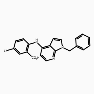 O=C(O)c1cc(Cl)ccc1Nc1ccnc2c1ccn2Cc1ccccc1